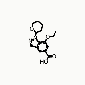 CCOc1cc(C(=O)O)cc2cnn(C3CCCCO3)c12